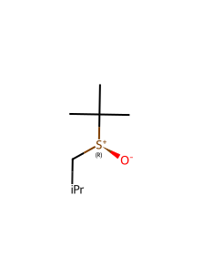 CC(C)C[S@+]([O-])C(C)(C)C